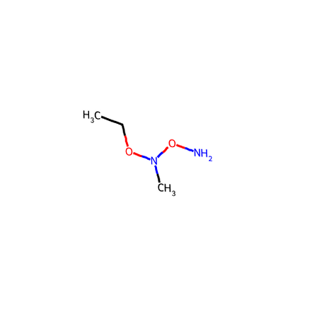 CCON(C)ON